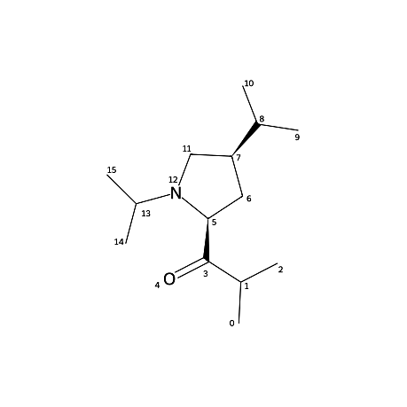 CC(C)C(=O)[C@@H]1C[C@H](C(C)C)CN1C(C)C